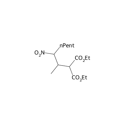 CCCCCC(C(C)C(C(=O)OCC)C(=O)OCC)[N+](=O)[O-]